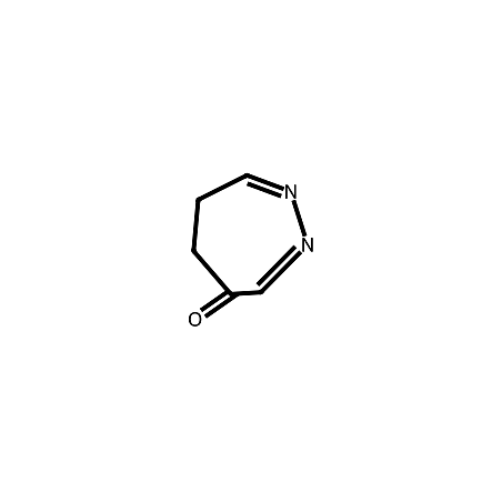 O=C1C=NN=CCC1